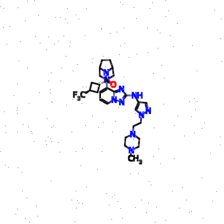 CN1CCN(CCn2cc(Nc3nc4c(N5CC6CCC(C5)N6C(=O)[C@H]5C[C@H](C(F)(F)F)C5)cccn4n3)cn2)CC1